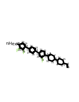 C=CC1CCC(C2CC=C(c3ccc(-c4ccc(-c5ccc(CCCCCC)c(F)c5F)cc4)cc3F)CC2)CC1